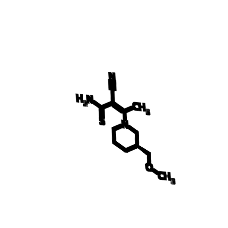 COC[C@H]1CCCN(C(C)=C(C#N)C(N)=S)C1